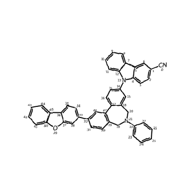 N#Cc1ccc2c(c1)c1ccccc1n2-c1ccc2c(c1)CN(c1ccccc1)Cc1ccc(-c3ccc4c(c3)oc3ccccc34)cc1-2